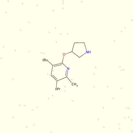 CCCc1cc(C(C)(C)C)c(OC2CCNC2)nc1C